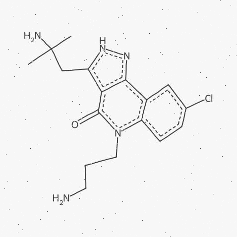 CC(C)(N)Cc1[nH]nc2c1c(=O)n(CCCN)c1ccc(Cl)cc21